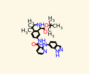 CC(C)(C)OC(=O)C1NCC(C)(C)c2ccc(NC(=O)c3cccnc3Nc3ccc4cn[nH]c4c3)cc21